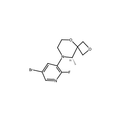 C[C@@H]1N(c2cc(Br)cnc2F)CCOC12COC2